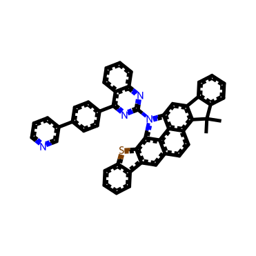 CC1(C)c2ccccc2-c2cc3c4c(ccc5cc6c7ccccc7sc6c(c54)n3-c3nc(-c4ccc(-c5cccnc5)cc4)c4ccccc4n3)c21